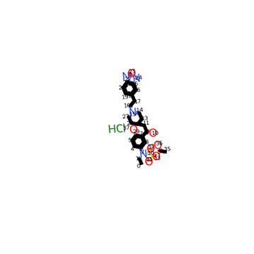 CCN(c1ccc2c(c1)C(=O)CC1(CCN(CCc3ccc4nonc4c3)CC1)O2)S(=O)(=O)OC(C)=O.Cl